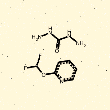 FC(F)Oc1ccccn1.NNC(=O)NN